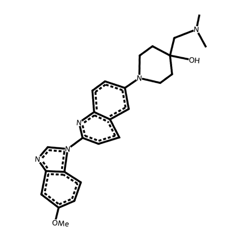 COc1ccc2c(c1)ncn2-c1ccc2cc(N3CCC(O)(CN(C)C)CC3)ccc2n1